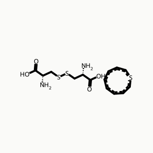 N[C@@H](CSSC[C@H](N)C(=O)O)C(=O)O.c1ccccsccc1